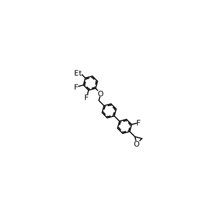 CCc1ccc(OCc2ccc(-c3ccc(C4CO4)c(F)c3)cc2)c(F)c1F